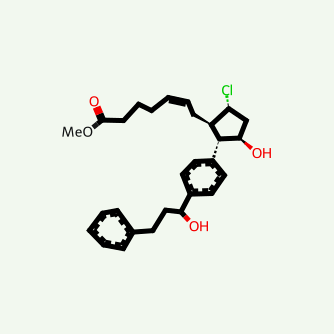 COC(=O)CCC/C=C\C[C@@H]1[C@@H](c2ccc(C(O)CCc3ccccc3)cc2)[C@H](O)C[C@H]1Cl